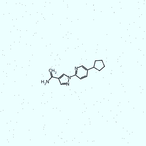 C=C(N)c1cnn(-c2ccc(C3CCCC3)cn2)c1